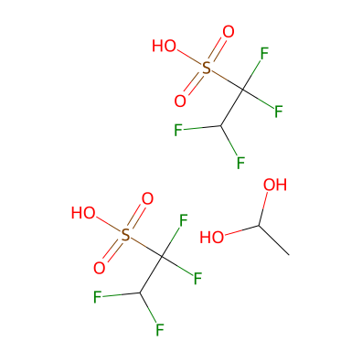 CC(O)O.O=S(=O)(O)C(F)(F)C(F)F.O=S(=O)(O)C(F)(F)C(F)F